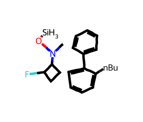 CCCCc1ccccc1-c1ccccc1.CN(O[SiH3])C1CCC1F